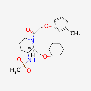 Cc1cccc2c1C1CCC(CC1)OC[C@H]1C(NS(C)(=O)=O)CCCN1C(=O)CO2